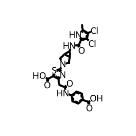 Cc1[nH]c(C(=O)NC2C3CN(c4nc(CC(=O)Nc5ccc(C(=O)O)cc5)c(C(=O)O)s4)CC32)c(Cl)c1Cl